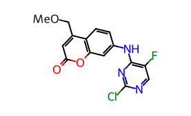 COCc1cc(=O)oc2cc(Nc3nc(Cl)ncc3F)ccc12